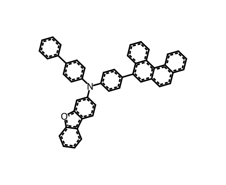 c1ccc(-c2ccc(N(c3ccc(-c4cc5ccc6ccccc6c5c5ccccc45)cc3)c3ccc4c(c3)oc3ccccc34)cc2)cc1